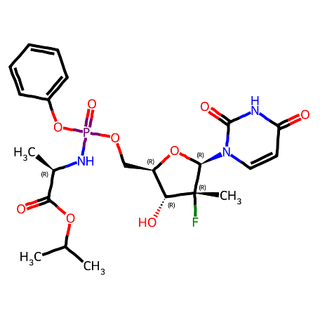 CC(C)OC(=O)[C@@H](C)NP(=O)(OC[C@H]1O[C@@H](n2ccc(=O)[nH]c2=O)[C@](C)(F)[C@@H]1O)Oc1ccccc1